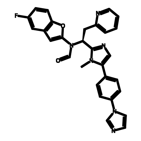 Cn1c(-c2ccc(-n3ccnc3)cc2)cnc1[C@H](Cc1ccccn1)N(C=O)c1cc2cc(F)ccc2o1